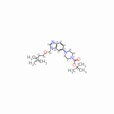 CC(C)(C)OC(=O)N1CCN(c2ccc3ncn(COCC[Si](C)(C)C)c3c2)CC1